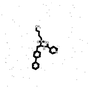 CCCCCS(=O)(=O)/C(=C/c1ccc(-c2ccccc2)cc1)NC(=O)c1ccncc1